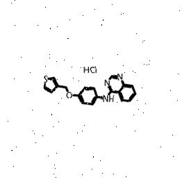 Cl.c1ccc2c(Nc3ccc(OCc4ccsc4)cc3)ncnc2c1